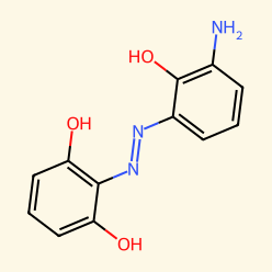 Nc1cccc(/N=N/c2c(O)cccc2O)c1O